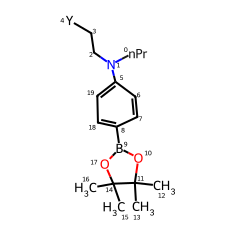 CCCN(C[CH2][Y])c1ccc(B2OC(C)(C)C(C)(C)O2)cc1